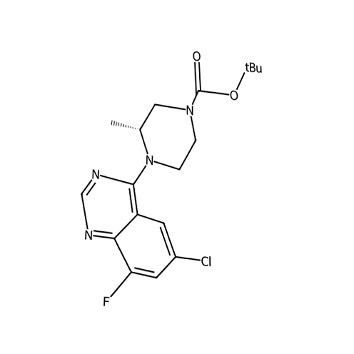 C[C@@H]1CN(C(=O)OC(C)(C)C)CCN1c1ncnc2c(F)cc(Cl)cc12